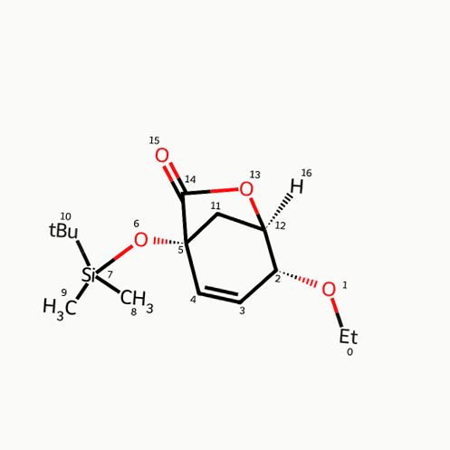 CCO[C@@H]1C=C[C@]2(O[Si](C)(C)C(C)(C)C)C[C@H]1OC2=O